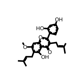 COc1cc2oc(-c3ccc(O)cc3O)c(CC=C(C)C)c(=O)c2c(O)c1CC=C(C)C